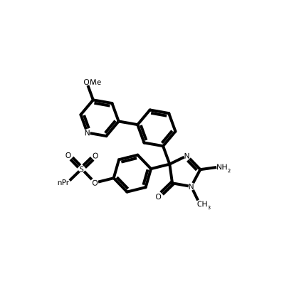 CCCS(=O)(=O)Oc1ccc(C2(c3cccc(-c4cncc(OC)c4)c3)N=C(N)N(C)C2=O)cc1